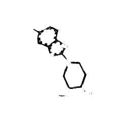 O=C(O)N[C@@H]1CN(c2nc3ccc(F)cc3[nH]2)CC[C@H]1O